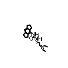 CCN(CC)CCSNC(=O)Nc1c2c(cc3c1CCC3)CCC2